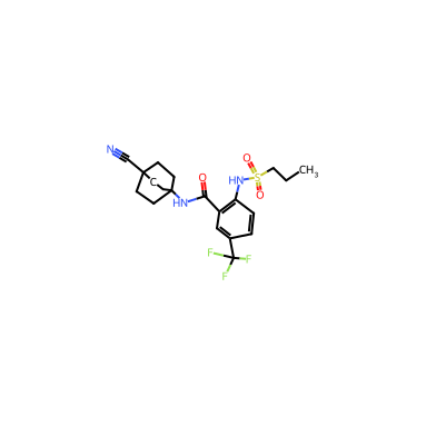 CCCS(=O)(=O)Nc1ccc(C(F)(F)F)cc1C(=O)NC12CCC(C#N)(CC1)CC2